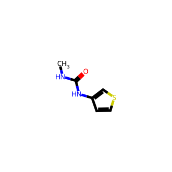 CNC(=O)Nc1ccsc1